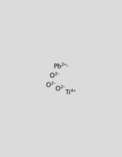 [O-2].[O-2].[O-2].[Pb+2].[Ti+4]